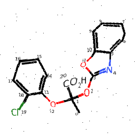 CC(Oc1nc2ccccc2o1)(Oc1ccccc1Cl)C(=O)O